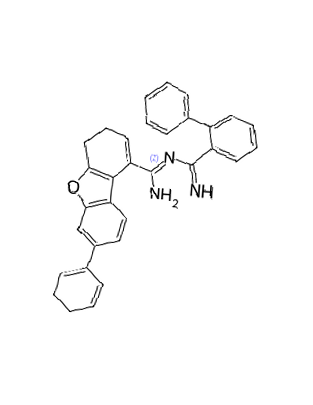 N=C(/N=C(\N)C1=CCCc2oc3cc(C4=CCCC=C4)ccc3c21)c1ccccc1-c1ccccc1